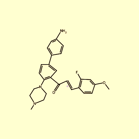 COc1ccc(/C=C/C(=O)c2cc(-c3ccc(N)cc3)ccc2N2CCN(C)CC2)c(F)c1